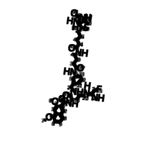 COc1cc2c(OC)cccc2cc1C(=O)N[C@@H](CCCNC(=N)CF)C(=O)NCc1cccc(NC(=O)CCCNC(=O)CCCC[C@@H]2SC[C@@H]3NC(=O)N[C@@H]32)c1